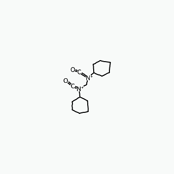 O=C=[N+](C[N+](=C=O)C1CCCCC1)C1CCCCC1